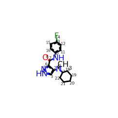 CN(c1c[nH]nc1C(=O)Nc1ccc(F)cc1)C1CCCCC1